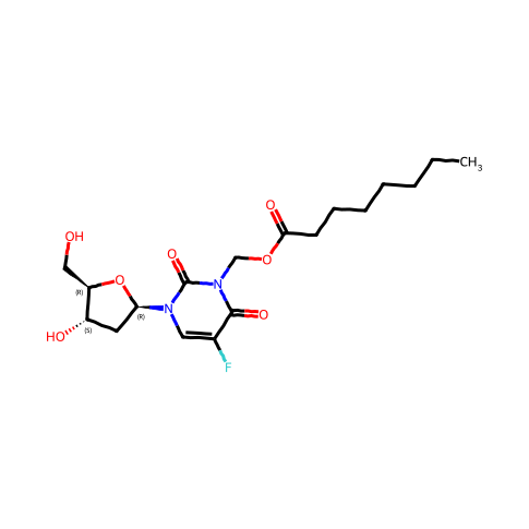 CCCCCCCC(=O)OCn1c(=O)c(F)cn([C@H]2C[C@H](O)[C@@H](CO)O2)c1=O